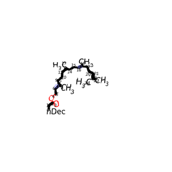 CCCCCCCCCCCC(=O)OC/C=C(\C)CCC=C(C)CC/C=C(\C)CCC=C(C)C